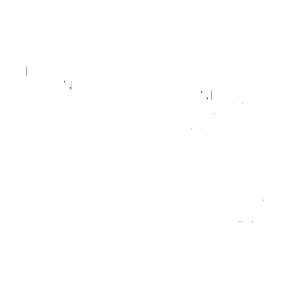 CN1CC[C@@H](c2ccc(NS(=O)(=O)c3ccc(OC(F)(F)F)cc3)cc2)C1